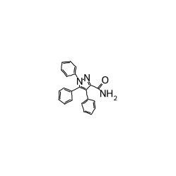 NC(=O)c1nn(-c2ccccc2)c(-c2ccccc2)c1-c1ccccc1